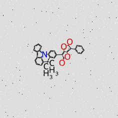 CC1(C)c2cc(C3=C4OC(=O)C(c5ccccc5)=C4OC3=O)ccc2-n2c3ccccc3c3cccc1c32